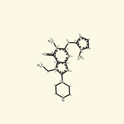 CCn1c(N2CCNCC2)nc2nc(Sc3nccn3C)n(C)c(=O)c21